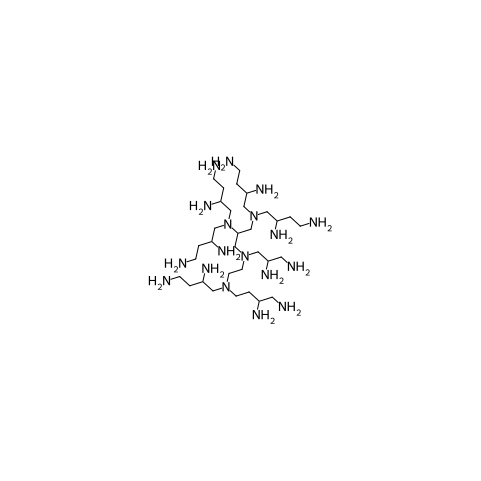 NCCC(N)CN(CCC(N)CN)CCN(CC(N)CN)CC(CN(CC(N)CCN)CC(N)CCN)N(CC(N)CCN)CC(N)CCN